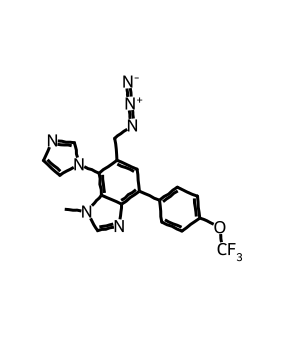 Cn1cnc2c(-c3ccc(OC(F)(F)F)cc3)cc(CN=[N+]=[N-])c(-n3ccnc3)c21